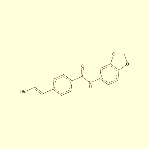 CC(C)(C)C=Cc1ccc(C(=O)Nc2ccc3c(c2)OCO3)cc1